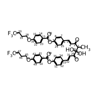 CC(C(=O)C=Cc1ccc(OC(=O)c2ccc(OCCCC(F)(F)F)cc2)cc1)C(O)(O)C(=O)C=Cc1ccc(OC(=O)c2ccc(OCCCC(F)(F)F)cc2)cc1